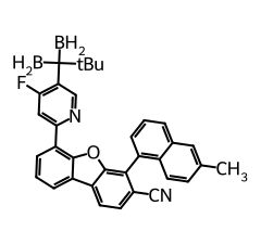 BC(B)(c1cnc(-c2cccc3c2oc2c(-c4cccc5cc(C)ccc45)c(C#N)ccc23)cc1F)C(C)(C)C